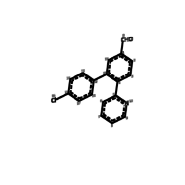 O=Cc1ccc(-c2ccccn2)c(-c2ccc(Cl)cc2)c1